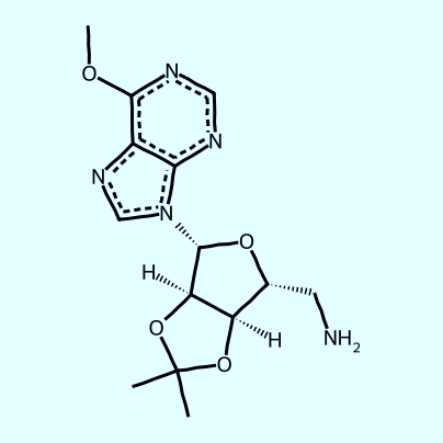 COc1ncnc2c1ncn2[C@@H]1O[C@H](CN)[C@H]2OC(C)(C)O[C@H]21